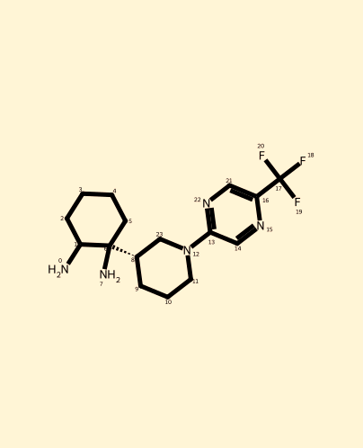 NC1CCCCC1(N)[C@H]1CCCN(c2cnc(C(F)(F)F)cn2)C1